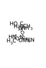 COc1cc(C)c2[nH]ccc2c1CN1CCC2(CC(C#N)C2)CC1c1ccc(C(=O)NC(C)(C)CC(=O)O)cc1